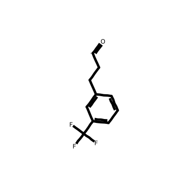 O=[C]CCc1cccc(C(F)(F)F)c1